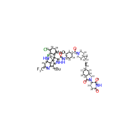 COc1cc(C(=O)N2CCC3(CC2)C[C@@H]3C#Cc2ccc3c(c2)CN(C2CCC(=O)NC2=O)C3=O)ccc1NC(=O)[C@@H]1N[C@@H](CC(C)(C)C)[C@@]2(CNc3cc(C(F)(F)F)ncc32)[C@H]1c1cccc(Cl)c1F